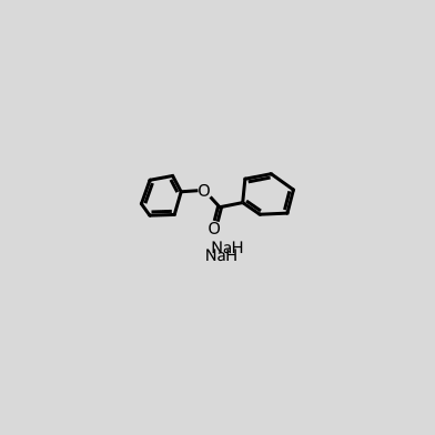 O=C(Oc1ccccc1)c1ccccc1.[NaH].[NaH]